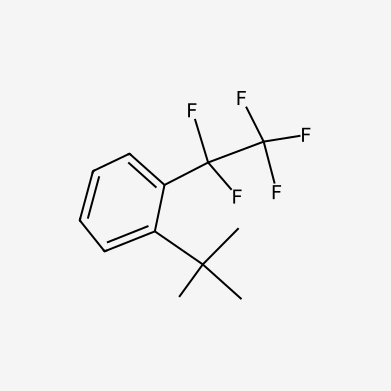 CC(C)(C)c1ccccc1C(F)(F)C(F)(F)F